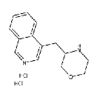 Cl.Cl.c1ccc2c(CC3COCCN3)cncc2c1